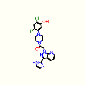 O=C(Cn1nc(-c2ncc[nH]2)c2cccnc21)N1CCN(c2cc(O)c(Cl)cc2F)CC1